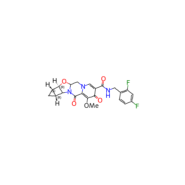 COc1c2n(cc(C(=O)NCc3ccc(F)cc3F)c1=O)CC1O[C@H]3C([C@@H]4C[C@@H]43)N1C2=O